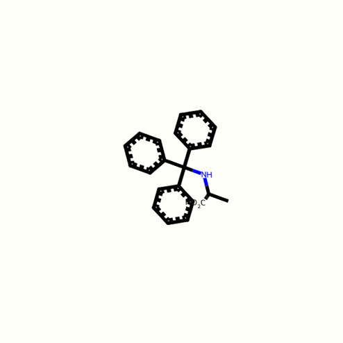 CC(NC(c1ccccc1)(c1ccccc1)c1ccccc1)C(=O)O